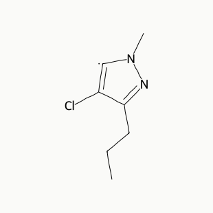 CCCc1nn(C)[c]c1Cl